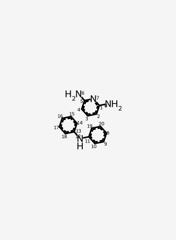 Nc1cccc(N)n1.c1ccc(Nc2ccccc2)cc1